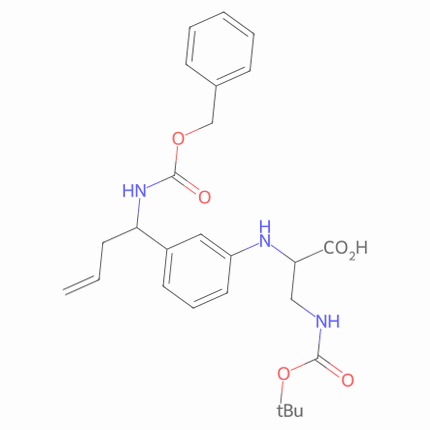 C=CCC(NC(=O)OCc1ccccc1)c1cccc(NC(CNC(=O)OC(C)(C)C)C(=O)O)c1